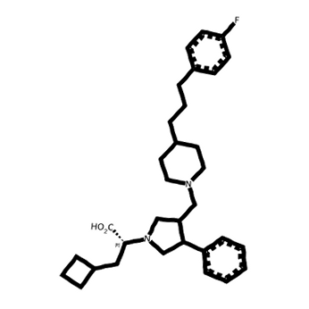 O=C(O)[C@@H](CC1CCC1)N1CC(CN2CCC(CCCc3ccc(F)cc3)CC2)C(c2ccccc2)C1